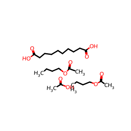 CC(=O)O.CCCCOC(C)=O.CCCCOC(C)=O.O=C(O)CCCCCCCCC(=O)O